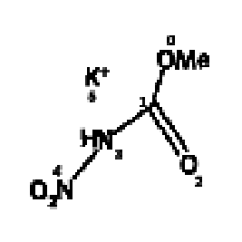 COC(=O)N[N+](=O)[O-].[K+]